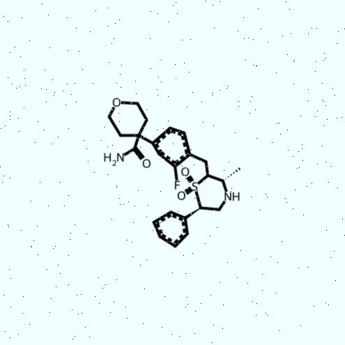 C[C@@H]1NC[C@@H](c2ccccc2)S(=O)(=O)C1Cc1ccc(C2(C(N)=O)CCOCC2)cc1F